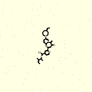 C=C1CC(/C=C\C(=C/C)N2CCC/C(=C/C)CC2)=NC(c2cc(C(=C=C(C)/C(C)=C\C)CC)ccn2)=CC1=O